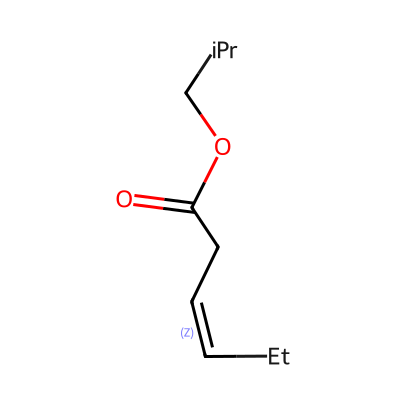 CC/C=C\CC(=O)OCC(C)C